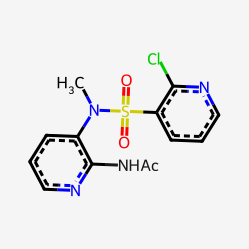 CC(=O)Nc1ncccc1N(C)S(=O)(=O)c1cccnc1Cl